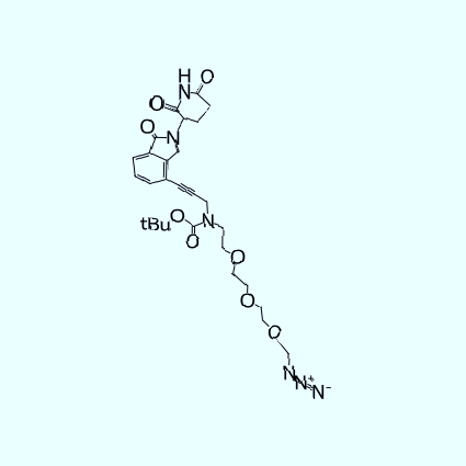 CC(C)(C)OC(=O)N(CC#Cc1cccc2c1CN(C1CCC(=O)NC1=O)C2=O)CCOCCOCCOCCN=[N+]=[N-]